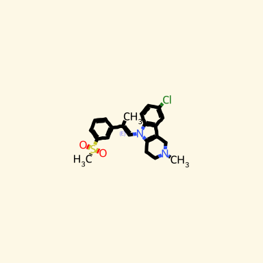 C/C(=C\n1c2c(c3cc(Cl)ccc31)CN(C)CC2)c1cccc(S(C)(=O)=O)c1